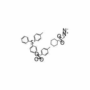 Cc1ccc(S(=O)(=O)[O-])cc1.Cc1ccc([S+](c2ccccc2)c2ccccc2)cc1.[N-]=[N+]=CS(=O)(=O)C1CCCCC1